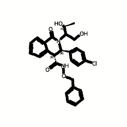 C[C@H](O)C(CO)N1C(=O)c2ccccc2[C@@H](C(=O)NOCc2ccccc2)[C@@H]1c1ccc(Cl)cc1